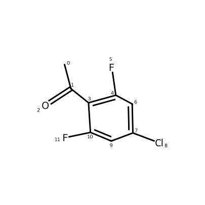 CC(=O)c1c(F)cc(Cl)cc1F